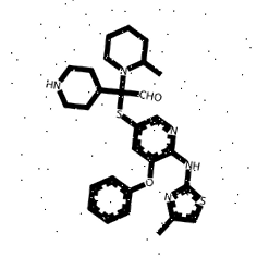 Cc1csc(Nc2ncc(SC(C=O)(C3CCNCC3)N3CCCCC3C)cc2Oc2ccccc2)n1